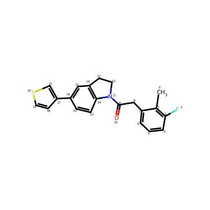 Cc1c(F)cccc1CC(=O)N1CCc2cc(-c3ccsc3)ccc21